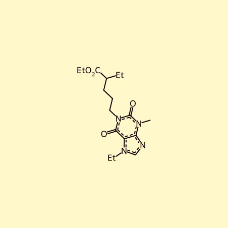 CCOC(=O)C(CC)CCCn1c(=O)c2c(ncn2CC)n(C)c1=O